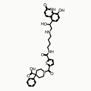 O=C(NCCCCNCC(O)c1ccc(O)c2[nH]c(=O)ccc12)c1ccc(C(=O)N2CCC(C(=O)O)(c3ccccc3)CC2)s1